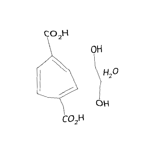 O.O=C(O)c1ccc(C(=O)O)cc1.OCCO